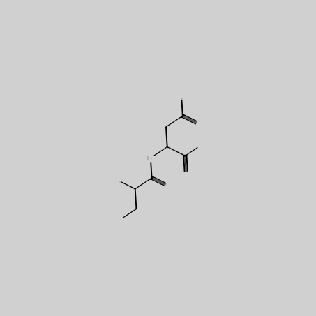 NC(CS)C(=O)NC(CC(=O)O)C(=O)O